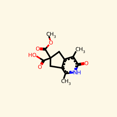 COC(=O)C1(C(=O)O)Cc2c(C)[nH]c(=O)c(C)c2C1